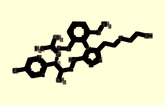 COc1cccc(OC)c1-n1c(CCOCCO)nnc1NSC(C)[C@@H](OC(C)C)c1ncc(Cl)cn1